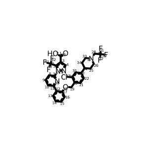 O=C(O)c1cnn(-c2cccc(-c3ccccc3OCc3ccc(C4CCN(CC(F)(F)F)CC4)cc3Cl)n2)c1C(F)(F)F